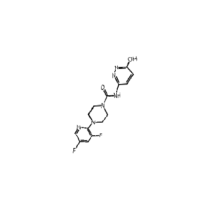 O=C(Nc1ccc(O)nn1)N1CCN(c2ncc(F)cc2F)CC1